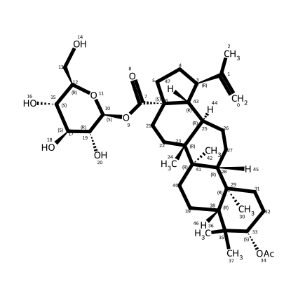 C=C(C)[C@@H]1CC[C@]2(C(=O)O[C@@H]3O[C@H](CO)[C@@H](O)[C@H](O)[C@H]3O)CC[C@]3(C)[C@H](CC[C@@H]4[C@@]5(C)CC[C@H](OC(C)=O)C(C)(C)[C@@H]5CC[C@]43C)[C@@H]12